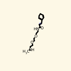 CNCCOCCOCCNC(=O)/C=C/C1=CCCC=C1